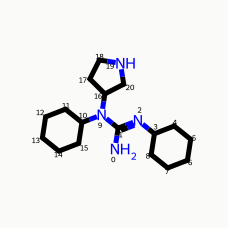 NC(=NC1CCCCC1)N(C1CCCCC1)C1CCNC1